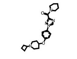 O=C(c1ncn(-c2ccc(OC3CCN(C4CCC4)CC3)cc2)n1)N1CCCCC1